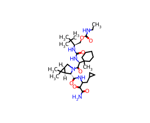 CCNC(=O)OC[C@@H](NC(=O)N[C@H](C(=O)N1C[C@H]2[C@@H]([C@H]1C(=O)NC(CC1CC1)C(=O)C(N)=O)C2(C)C)C1(C)CCCCC1)C(C)(C)C